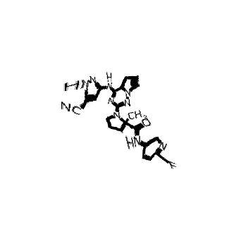 C[C@@]1(C(=O)Nc2ccc(F)nc2)CCCN1c1nc(Nc2cc(C#N)[nH]n2)c2cccn2n1